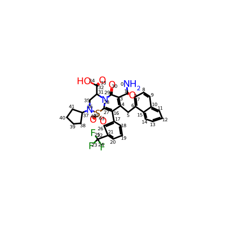 NC(=O)c1c(Cc2cccc3ccccc23)c(-c2cccc(C(F)(F)F)c2)c2n(c1=O)C(C(=O)O)CN(C1CCCC1)S2(=O)=O